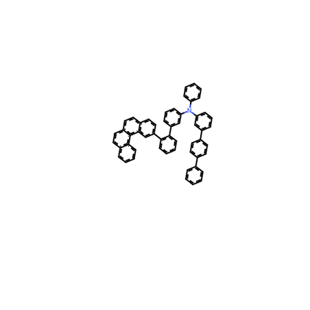 c1ccc(-c2ccc(-c3cccc(N(c4ccccc4)c4cccc(-c5ccccc5-c5ccc6ccc7ccc8ccccc8c7c6c5)c4)c3)cc2)cc1